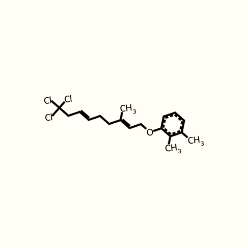 C/C(=C\COc1cccc(C)c1C)CC/C=C/CC(Cl)(Cl)Cl